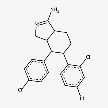 NC1=NCC2C1CCC(c1ccc(Cl)cc1Cl)C2c1ccc(Cl)cc1